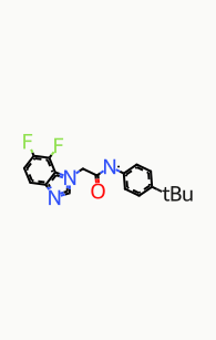 CC(C)(C)c1ccc([N]C(=O)Cn2cnc3ccc(F)c(F)c32)cc1